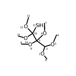 COC(OC)C(OC)(OC)C([SiH3])(OC)OC